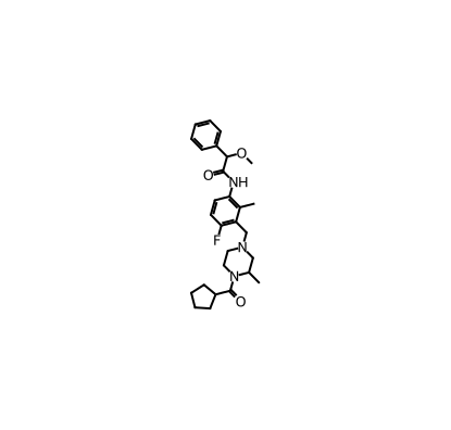 COC(C(=O)Nc1ccc(F)c(CN2CCN(C(=O)C3CCCC3)C(C)C2)c1C)c1ccccc1